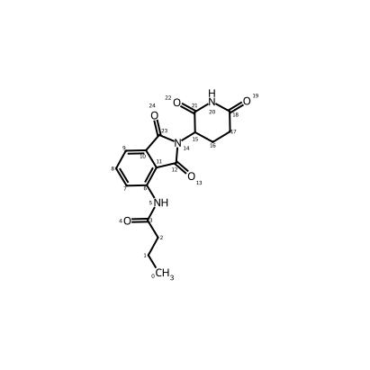 CCCC(=O)Nc1cccc2c1C(=O)N(C1CCC(=O)NC1=O)C2=O